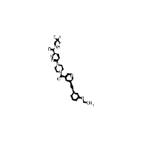 CCOc1cccc(C#Cc2cncc(C(=O)N3CCN(c4ccc(C(=O)NCC(F)(F)F)nn4)CC3)c2)c1